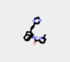 Cc1cccc(C(=O)NC23CC4CC(CC(C#Cc5cnccn5)(C4)C2)C3)n1